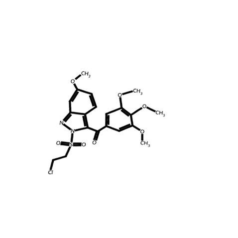 COc1ccc2c(C(=O)c3cc(OC)c(OC)c(OC)c3)n(S(=O)(=O)CCCl)nc2c1